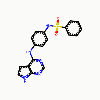 O=S(=O)(Nc1ccc(Nc2ncnc3[nH]ccc23)cc1)c1ccccc1